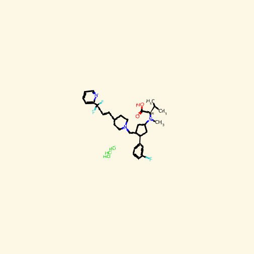 CC(C)[C@H](C(=O)O)N(C)C1CC(CN2CCC(CCC(F)(F)c3ccccn3)CC2)C(c2cccc(F)c2)C1.Cl.Cl.Cl